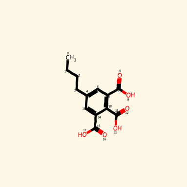 CCCCc1cc(C(=O)O)c(C(=O)O)c(C(=O)O)c1